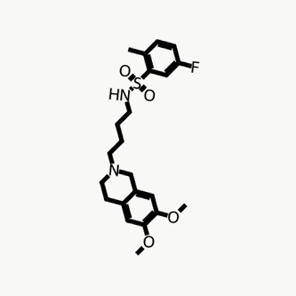 COc1cc2c(cc1OC)CN(CCCCNS(=O)(=O)c1cc(F)ccc1C)CC2